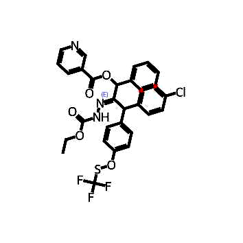 CCOC(=O)N/N=C(/C(OC(=O)c1cccnc1)c1ccccc1)C(c1ccc(Cl)cc1)c1ccc(OSC(F)(F)F)cc1